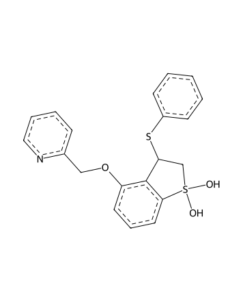 OS1(O)CC(Sc2ccccc2)c2c(OCc3ccccn3)cccc21